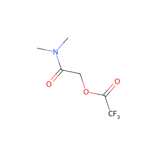 CN(C)C(=O)COC(=O)C(F)(F)F